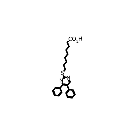 O=C(O)CCCCCCCCSc1ncc(-c2ccccc2)c(-c2ccccc2)n1